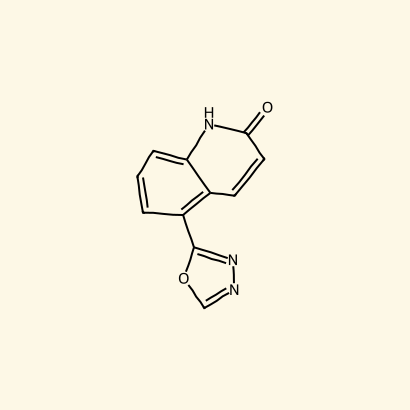 O=c1ccc2c(-c3nnco3)cccc2[nH]1